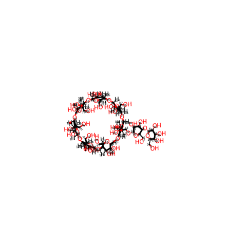 OC[C@H]1O[C@H](O[C@H]2[C@H](O)[C@@H](O)[C@@H](OC[C@H]3O[C@@H]4O[C@H]5[C@H](O)[C@@H](O)[C@@H](O[C@H]6[C@H](O)[C@@H](O)[C@@H](O[C@H]7[C@H](O)[C@@H](O)C(O[C@H]8[C@H](O)[C@@H](O)[C@@H](O[C@H]9[C@H](O)[C@@H](O)[C@@H](O[C@H]%10[C@H](O)[C@@H](O)[C@@H](O[C@H]3[C@H](O)[C@H]4O)O[C@@H]%10CO)O[C@@H]9CO)O[C@@H]8CO)O[C@@H]7CO)O[C@@H]6CO)O[C@@H]5CO)O[C@@H]2CO)[C@H](O)[C@@H](O)[C@@H]1O